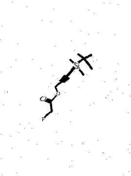 CC(C)(C)[Si](C)(C)C#CCOC(=O)CF